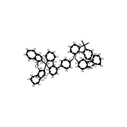 CC1(C)c2ccccc2-c2c(N(c3ccc(-c4cccc5c4-c4ccccc4C54c5ccc6ccccc6c5Oc5c4ccc4ccccc54)cc3)c3ccc4sc5ccccc5c4c3)cccc21